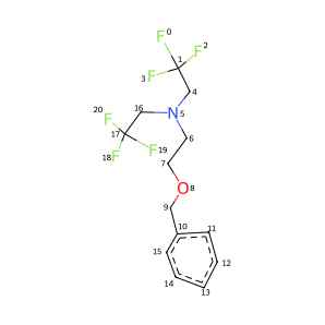 FC(F)(F)CN(CCOCc1ccccc1)CC(F)(F)F